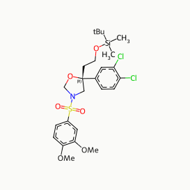 COc1ccc(S(=O)(=O)N2CO[C@](CCO[Si](C)(C)C(C)(C)C)(c3ccc(Cl)c(Cl)c3)C2)cc1OC